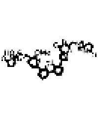 COc1nc(-c2cccc(-c3cccc(-c4cc5c(=O)n(C)c(CN6CC7(CCC(=O)N7)C6)nn5c4)c3Cl)c2Cl)ccc1CN(C[C@@H]1CCC(=O)N1)C(=O)O